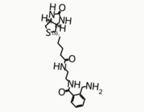 NCc1ccccc1C(=O)NCCNC(=O)CCCC[C@@H]1SC[C@@H]2NC(=O)N[C@@H]21